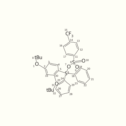 CC(C)(C)Oc1ccc(S(OS(=O)(=O)c2ccc(C(F)(F)F)cc2)(c2ccccc2)c2ccccc2)c(OC(C)(C)C)c1